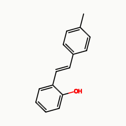 Cc1ccc(C=Cc2ccccc2O)cc1